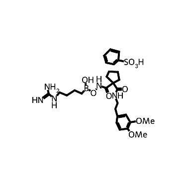 COc1ccc(CCNC(=O)C2(C(=O)NOB(O)CCCCNC(=N)N)CCCC2)cc1OC.O=S(=O)(O)c1ccccc1